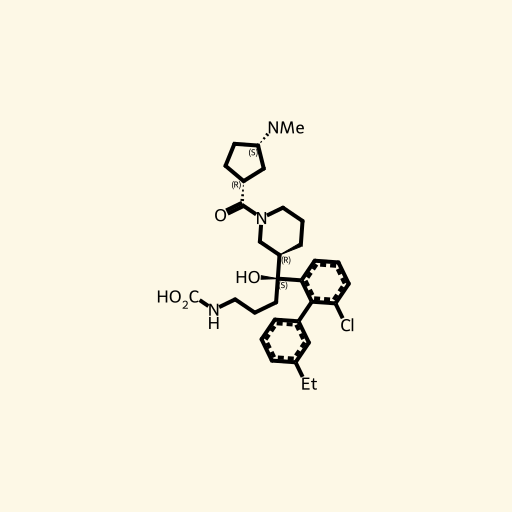 CCc1cccc(-c2c(Cl)cccc2[C@](O)(CCCNC(=O)O)[C@@H]2CCCN(C(=O)[C@@H]3CC[C@H](NC)C3)C2)c1